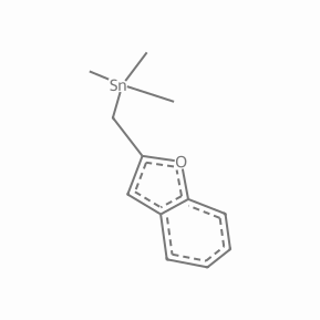 [CH3][Sn]([CH3])([CH3])[CH2]c1cc2ccccc2o1